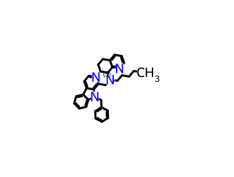 CCCCCN(Cc1nccc2c3ccccc3n(Cc3ccccc3)c12)[C@H]1CCCc2cccnc21